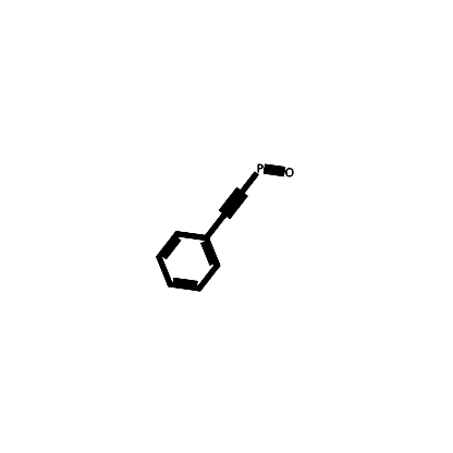 O=PC#Cc1ccccc1